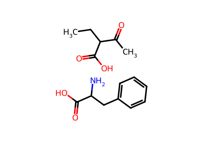 CCC(C(C)=O)C(=O)O.NC(Cc1ccccc1)C(=O)O